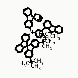 CC(C)(C)c1ccc2c(c1)-c1cc(C(C)(C)C)ccc1C21c2ccccc2-c2ccc(N(c3cccc(-c4cccc5c4C(C)(C)c4ccccc4-5)c3)c3ccc4c(c3)C3(CC5CCC3C5)c3ccccc3-4)cc21